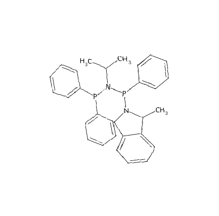 CC1c2ccccc2CN1P(c1ccccc1)N(C(C)C)P(c1ccccc1)c1ccccc1